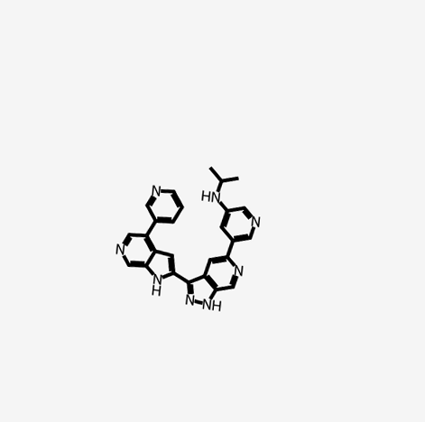 CC(C)Nc1cncc(-c2cc3c(-c4cc5c(-c6cccnc6)cncc5[nH]4)n[nH]c3cn2)c1